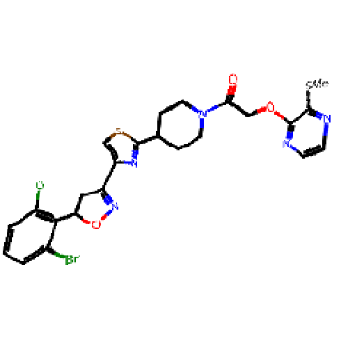 CSc1nccnc1OCC(=O)N1CCC(c2nc(C3=NOC(c4c(Cl)cccc4Br)C3)cs2)CC1